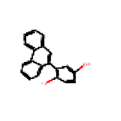 Oc1ccc(O)c(-c2cc3ccccc3c3ccccc23)c1